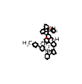 Cc1ccc(C2C=CC(Nc3ccccc3-c3cccc(-c4ccc(Nc5ccc6c(c5)C(c5ccccc5)(C5(C)C=CC=CC5)c5ccccc5-6)c(-c5ccccc5)c4)c3)=CC2C)cc1